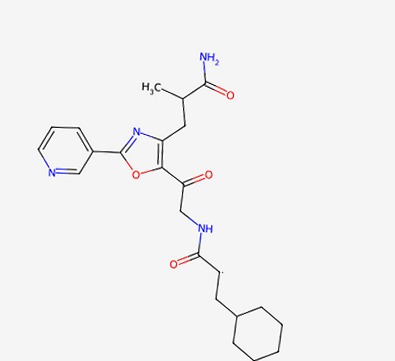 CC(Cc1nc(-c2cccnc2)oc1C(=O)CNC(=O)[CH]CC1CCCCC1)C(N)=O